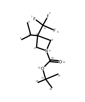 CC(C)C1(C(F)(F)F)CN(C(=O)OC(C)(C)C)C1